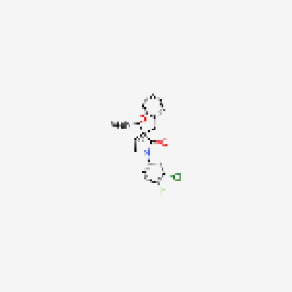 CNC(=O)[C@@]1(Cc2ccccc2)CCN(c2ccc(F)c(Cl)c2)C1=O